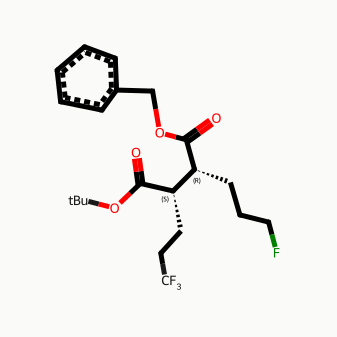 CC(C)(C)OC(=O)[C@@H](CCC(F)(F)F)[C@@H](CCCF)C(=O)OCc1ccccc1